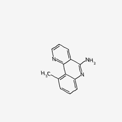 Cc1cccc2nc(N)c3cccnc3c12